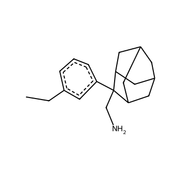 CCc1cccc(C2(CN)C3CC4CC(C3)CC2C4)c1